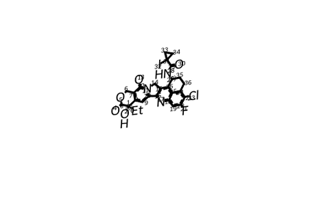 CC[C@@]1(O)C(=O)OCc2c1cc1n(c2=O)Cc2c-1nc1cc(F)c(Cl)c3c1c2[C@@H](NC(=O)C1(I)CC1)CC3